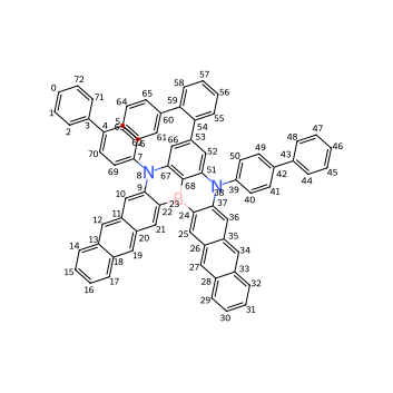 c1ccc(-c2ccc(N3c4cc5cc6ccccc6cc5cc4B4c5cc6cc7ccccc7cc6cc5N(c5ccc(-c6ccccc6)cc5)c5cc(-c6ccccc6-c6ccccc6)cc3c54)cc2)cc1